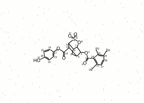 O=C(OC1C2CC3C1OS(=O)(=O)C3C2C(=O)Oc1ccc(O)cc1)c1c(I)ccc(I)c1I